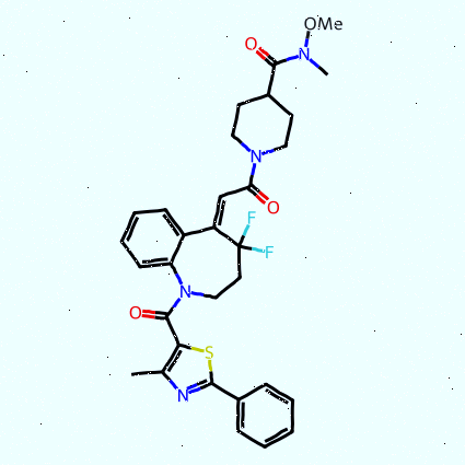 CON(C)C(=O)C1CCN(C(=O)/C=C2/c3ccccc3N(C(=O)c3sc(-c4ccccc4)nc3C)CCC2(F)F)CC1